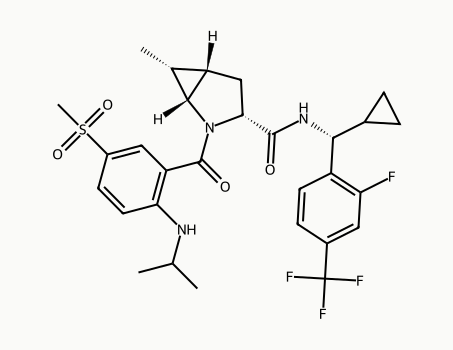 CC(C)Nc1ccc(S(C)(=O)=O)cc1C(=O)N1[C@@H]2[C@H](C)[C@@H]2C[C@@H]1C(=O)N[C@@H](c1ccc(C(F)(F)F)cc1F)C1CC1